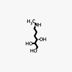 CNCCC[C@H](O)C(O)CO